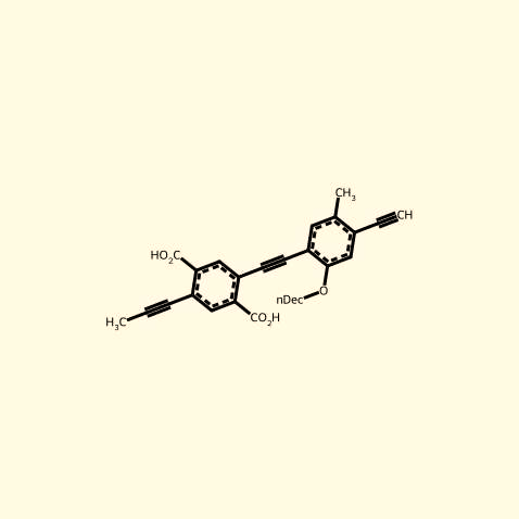 C#Cc1cc(OCCCCCCCCCC)c(C#Cc2cc(C(=O)O)c(C#CC)cc2C(=O)O)cc1C